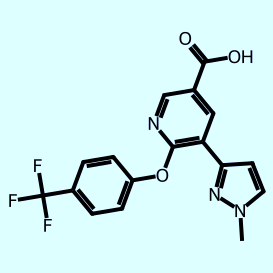 Cn1ccc(-c2cc(C(=O)O)cnc2Oc2ccc(C(F)(F)F)cc2)n1